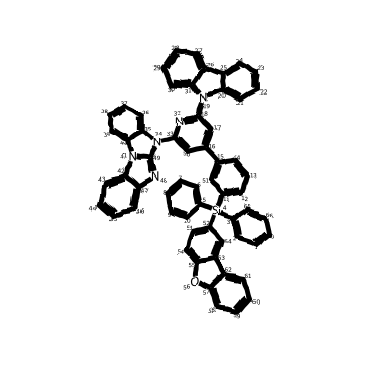 c1ccc([Si](c2ccccc2)(c2cccc(-c3cc(-n4c5ccccc5c5ccccc54)nc(-n4c5ccccc5n5c6ccccc6nc45)c3)c2)c2ccc3oc4ccccc4c3c2)cc1